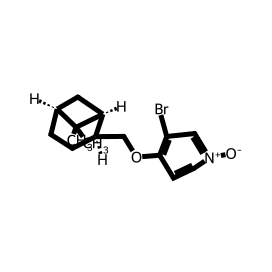 CC1(C)[C@H]2CC[C@H](COc3cc[n+]([O-])cc3Br)[C@@H]1C2